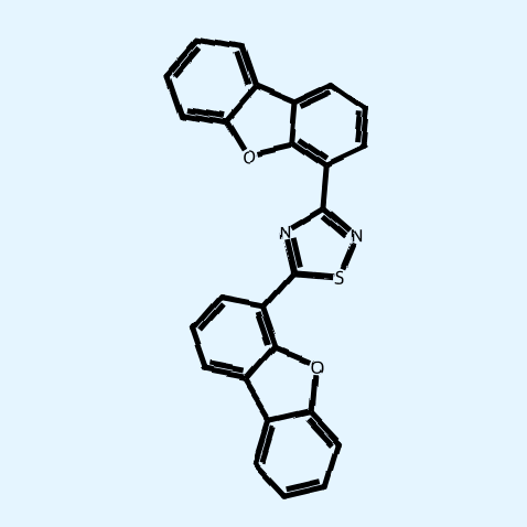 c1ccc2c(c1)oc1c(-c3nsc(-c4cccc5c4oc4ccccc45)n3)cccc12